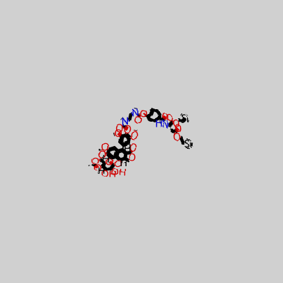 COc1cc([C@@H]2c3cc4c(cc3C(OC3O[C@@H]5CO[C@@H](C)O[C@H]5[C@H](O)[C@H]3O)[C@H]3COC(=O)[C@H]23)OCO4)cc(OC)c1OC(=O)N(C)CCN(C)C(=O)O[C@H]1/C=C/CC[C@@](C)(C(=O)N[C@@H](CC(=O)OCC[Si](C)(C)C)C(=O)OCC[Si](C)(C)C)CC1